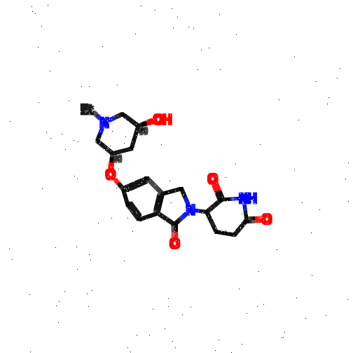 CCN1C[C@@H](O)C[C@@H](Oc2ccc3c(c2)CN(C2CCC(=O)NC2=O)C3=O)C1